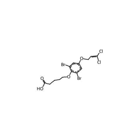 O=C(O)CCCCOc1c(Br)cc(OCC=C(Cl)Cl)cc1Br